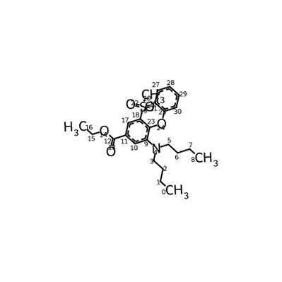 CCCCN(CCCC)c1cc(C(=O)OCC)cc(S(C)(=O)=O)c1Oc1ccccc1